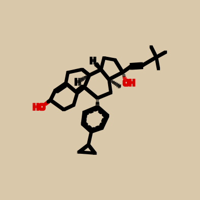 CC(C)(C)C#C[C@]1(O)CC[C@H]2[C@@H]3CCC4=CC(O)CCC4=C3[C@@H](c3ccc(C4CC4)cc3)C[C@@]21C